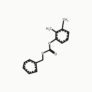 Cc1cccc(OC(=O)OCc2ccccc2)c1C